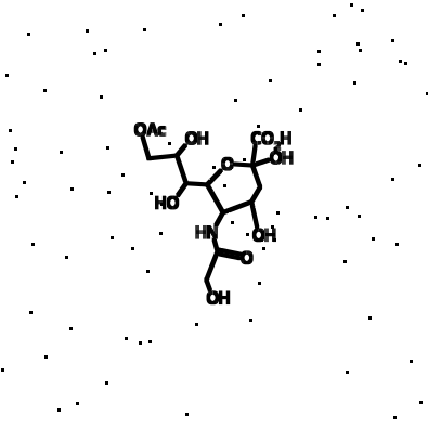 CC(=O)OCC(O)C(O)C1OC(O)(C(=O)O)CC(O)C1NC(=O)CO